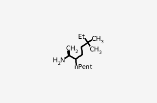 C=C(N)C(CCCCC)CCC(C)(C)CC